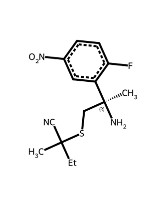 CCC(C)(C#N)SC[C@](C)(N)c1cc([N+](=O)[O-])ccc1F